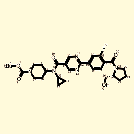 CC(C)(C)OC(=O)N1CCC(N(C(=O)c2cnc(-c3ccc(C(=O)N4CCC[C@@H]4CO)c(F)c3)nc2)C2CC2)CC1